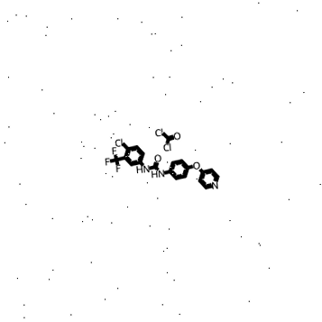 O=C(Cl)Cl.O=C(Nc1ccc(Oc2ccncc2)cc1)Nc1ccc(Cl)c(C(F)(F)F)c1